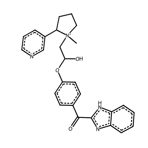 C[N+]1(CC(O)Oc2ccc(C(=O)c3nc4ccccc4[nH]3)cc2)CCCC1c1cccnc1